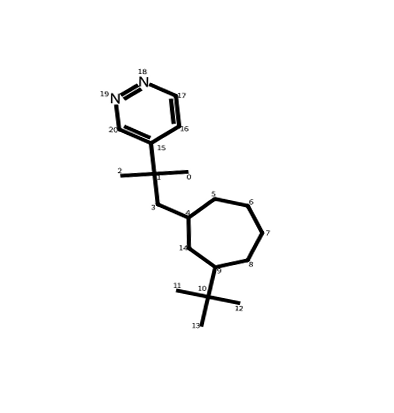 CC(C)(CC1CCCCC(C(C)(C)C)C1)c1ccnnc1